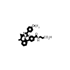 CC(c1ccccc1)C1CC12N=C(c1ccc(OC(F)(F)F)cc1)C(=O)N2CCc1ccc(C(=O)NCCC(=O)O)cc1